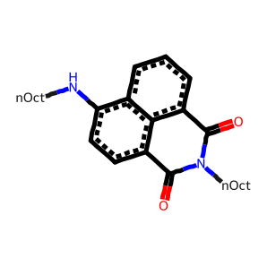 CCCCCCCCNc1ccc2c3c(cccc13)C(=O)N(CCCCCCCC)C2=O